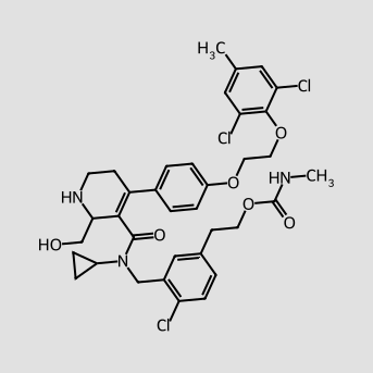 CNC(=O)OCCc1ccc(Cl)c(CN(C(=O)C2=C(c3ccc(OCCOc4c(Cl)cc(C)cc4Cl)cc3)CCNC2CO)C2CC2)c1